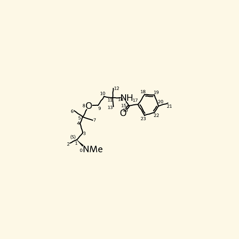 CN[C@@H](C)CCC(C)(C)OCCC(C)(C)NC(=O)c1ccc(C)cc1